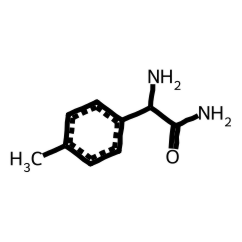 Cc1ccc(C(N)C(N)=O)cc1